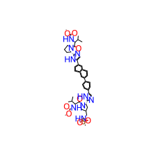 COC(=O)N[C@H](C(=O)N1CCC[C@H]1c1ncc(-c2ccc3cc(-c4ccc(-c5cnc([C@@H]6CC(CNS(C)(=O)=O)CN6C(=O)[C@@H](NC(=O)OC)C(C)C)[nH]5)cc4)ccc3c2)[nH]1)C(C)C